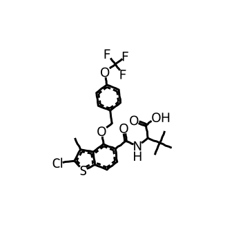 Cc1c(Cl)sc2ccc(C(=O)NC(C(=O)O)C(C)(C)C)c(OCc3ccc(OC(F)(F)F)cc3)c12